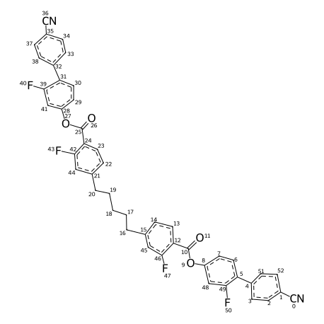 N#Cc1ccc(-c2ccc(OC(=O)c3ccc(CCCCCc4ccc(C(=O)Oc5ccc(-c6ccc(C#N)cc6)c(F)c5)c(F)c4)cc3F)cc2F)cc1